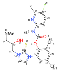 CCN(C(=O)Oc1c(-n2ccn(CC(O)CNC)c2=S)cc(C(F)(F)F)cc1C(F)(F)F)c1ccc(F)c(C)n1